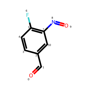 O=Cc1ccc(F)c(N=O)c1